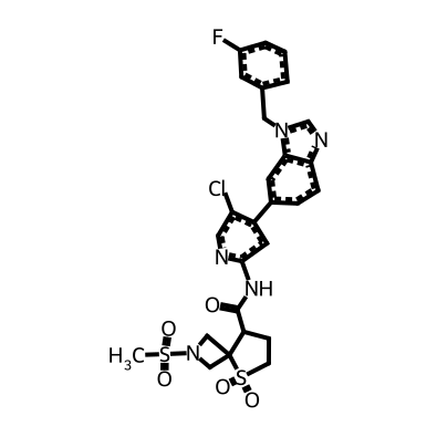 CS(=O)(=O)N1CC2(C1)C(C(=O)Nc1cc(-c3ccc4ncn(Cc5cccc(F)c5)c4c3)c(Cl)cn1)CCS2(=O)=O